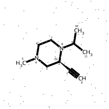 C#C[C@H]1CN(C)CCN1C(C)C